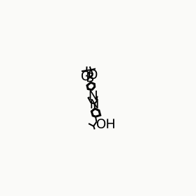 CC(C)C(O)c1ccc(N2CCN(c3ccc(B4OC(C)(C)C(C)(C)O4)cc3)CC2)cc1